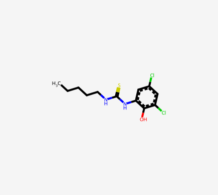 CCCCCNC(=S)Nc1cc(Cl)cc(Cl)c1O